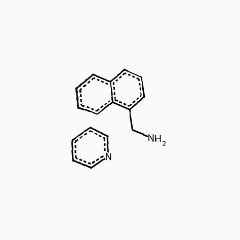 NCc1cccc2ccccc12.c1ccncc1